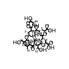 CC[C@H](C)[C@H](NC(=O)[C@H](CCC(=O)O)NC(=O)[C@H](CCC(=O)O)NC(=O)[C@@H](NC(=O)[C@@H](NC(=O)[C@@H](N)CO)C(C)C)[C@@H](C)O)C(=O)N[C@@H](C)C(=O)O